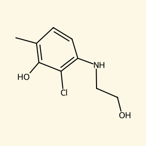 Cc1ccc(NCCO)c(Cl)c1O